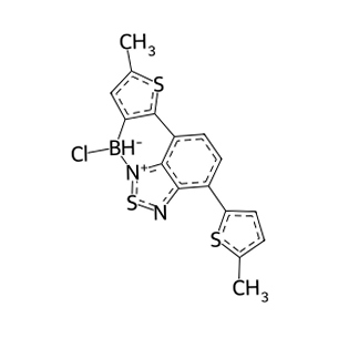 Cc1ccc(-c2ccc3c4c2ns[n+]4[BH-](Cl)c2cc(C)sc2-3)s1